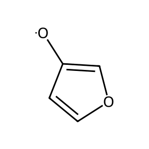 [O]c1ccoc1